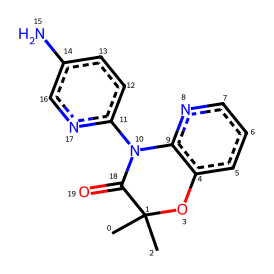 CC1(C)Oc2cccnc2N(c2ccc(N)cn2)C1=O